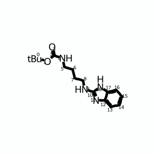 CC(C)(C)OC(=O)NCCCCNc1nc2ccccc2[nH]1